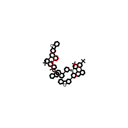 CC(C)(C)c1cc(-c2cccc3cccc(-c4ccccc4N(c4cccc(-c5ccc6oc7ccccc7c6c5)c4)c4cccc(-c5cccc6cc(CC(C)(C)c7cc(-c8cccc9cccc(-c%10ccccc%10N(c%10ccc(-c%11cccc%12ccccc%11%12)cc%10)c%10cccc(-c%11ccc%12oc%13ccccc%13c%12c%11)c%10)c89)cc(C(C)(C)C)c7)ccc56)c4)c23)cc(C(C)(C)C)c1